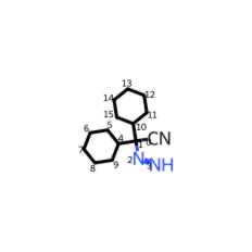 N#CC(N=N)(C1CCCCC1)C1CCCCC1